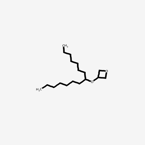 CCCCCCCC(CCCCCCC)OC1COC1